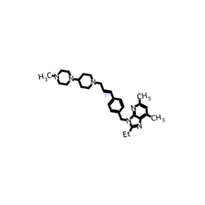 CCc1nc2c(C)cc(C)nc2n1Cc1ccc(/C=C/CN2CCC(N3CCN(C)CC3)CC2)cc1